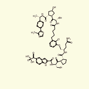 Cc1ncsc1-c1ccc([C@H](C)NC(=O)[C@@H]2C[C@@H](O)CN2C(=O)[C@@H](NC(=O)CCCCc2cccc(OC[C@H](CCC(N)=O)NC(=O)[C@@H]3CCCN3C(=O)[C@H](CC(C)C)NC(=O)c3cc4cc(C(=O)P(=O)(O)O)ccc4[nH]3)c2Cl)C(C)(C)C)cc1